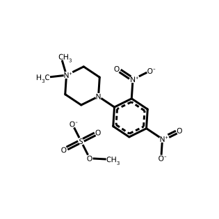 COS(=O)(=O)[O-].C[N+]1(C)CCN(c2ccc([N+](=O)[O-])cc2[N+](=O)[O-])CC1